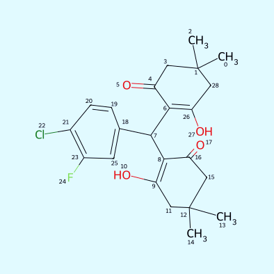 CC1(C)CC(=O)C(C(C2=C(O)CC(C)(C)CC2=O)c2ccc(Cl)c(F)c2)=C(O)C1